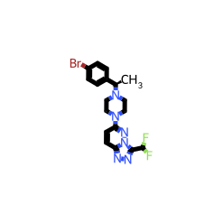 C[C@H](c1ccc(Br)cc1)N1CCN(c2ccc3nnc(C(F)F)n3n2)CC1